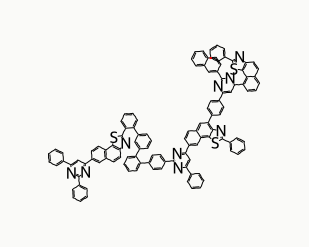 c1ccc(-c2cc(-c3ccc4c(ccc5nc(-c6ccccc6-c6cccc(-c7ccccc7-c7ccc(-c8nc(-c9ccccc9)cc(-c9ccc%10cc(-c%11ccc(-c%12cc(-c%13cccc%14ccc%15nc(-c%16ccccc%16)sc%15c%13%14)nc(-c%13ccc%14ccccc%14c%13)n%12)cc%11)c%11nc(-c%12ccccc%12)sc%11c%10c9)n8)cc7)c6)sc54)c3)nc(-c3ccccc3)n2)cc1